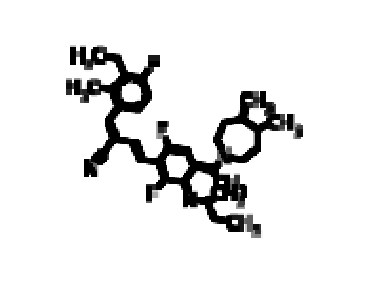 C=C(CC)/N=C1C(F)=C(/C=C/C(C#N)=C\c2ccc(F)c(CC)c2C)C(F)=CC/1=C(/C)N1CCC(=C)C(C)CC1